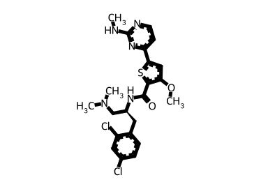 CNc1nccc(-c2cc(OC)c(C(=O)N[C@@H](Cc3ccc(Cl)cc3Cl)CN(C)C)s2)n1